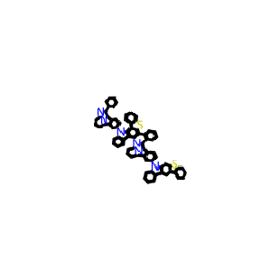 c1ccc(-c2nc3cccc4c5cc(-n6c7ccccc7c7cc(-c8ccccc8-c8nc9cccc%10c%11cc(-n%12c%13ccccc%13c%13cc%14c(cc%13%12)sc%12ccccc%12%14)ccc%11c8n9%10)c8sc9ccccc9c8c76)ccc5c2n34)cc1